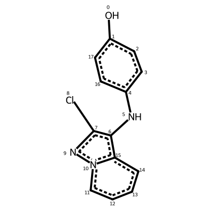 Oc1ccc(Nc2c(Cl)nn3ccccc23)cc1